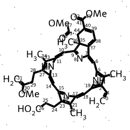 C=Cc1c(C)c2cc3nc(cc4[nH]c(cc5nc(cc1[nH]2)C(C)=C5CCC(=O)O)c(CCC(=C)OC)c4C)[C@@]1(C)C3=CC=C(C(=O)OC)[C@H]1C(=O)OC